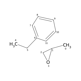 CC1CO1.CCc1ccccc1